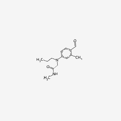 CCCN(CC(=O)NC)c1ccc(C=O)c(C)c1